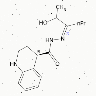 CCC/C(=N/NC(=O)[C@@H]1CCNc2ccccc21)C(C)O